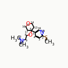 CSc1ccc(C2(OCCN(C)C)CCOCC2)cn1